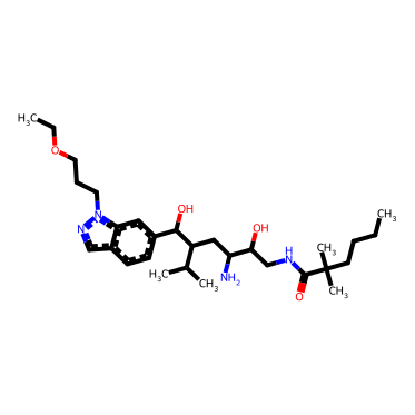 CCCCC(C)(C)C(=O)NCC(O)C(N)CC(C(C)C)C(O)c1ccc2cnn(CCCOCC)c2c1